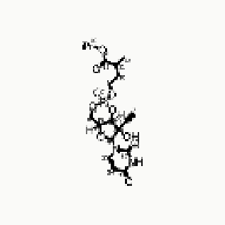 C#C[C@@]1(O)[C@@H]2O[P@@](=O)(OCCC(C)C(=O)OC(C)C)OC[C@H]2O[C@H]1n1ccc(=O)[nH]c1=O